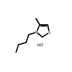 CCCCN1CSC=C1C.Cl